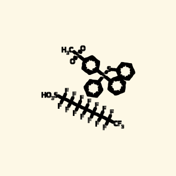 CS(=O)(=O)c1ccc(S(Sc2ccccc2)(c2ccccc2)c2ccccc2)cc1.O=S(=O)(O)C(F)(F)C(F)(F)C(F)(F)C(F)(F)C(F)(F)C(F)(F)C(F)(F)C(F)(F)F